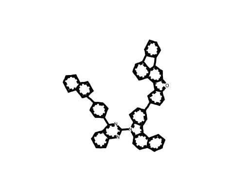 c1ccc2c(c1)-c1cccc3c1c-2cc1oc2ccc(-c4ccc5c(c4)c4c6ccccc6ccc4n5-c4nc(-c5ccc(-c6ccc7ccccc7c6)cc5)c5ccccc5n4)cc2c13